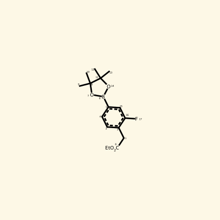 CCOC(=O)Cc1ccc(B2OC(C)(C)C(C)(C)O2)cc1F